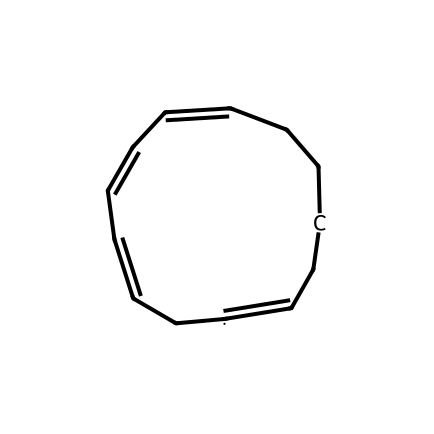 [C]1=CCCCCC=CC=CC=CC1